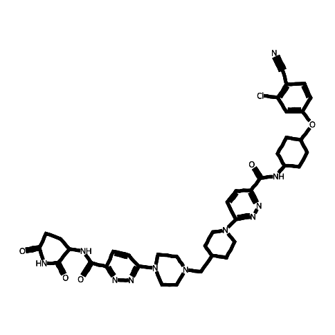 N#Cc1ccc(OC2CCC(NC(=O)c3ccc(N4CCC(CN5CCN(c6ccc(C(=O)NC7CCC(=O)NC7=O)nn6)CC5)CC4)nn3)CC2)cc1Cl